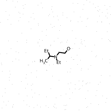 CCC(C)N(CC)CC[O]